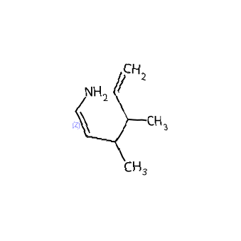 C=CC(C)C(C)/C=C\N